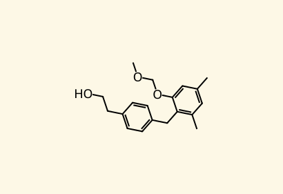 COCOc1cc(C)cc(C)c1Cc1ccc(CCO)cc1